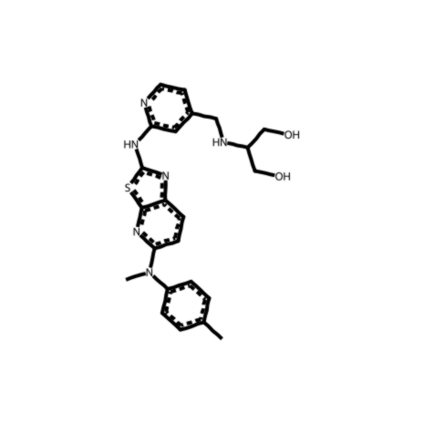 Cc1ccc(N(C)c2ccc3nc(Nc4cc(CNC(CO)CO)ccn4)sc3n2)cc1